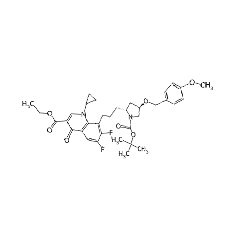 CCOC(=O)c1cn(C2CC2)c2c(CCC[C@@H]3C[C@@H](OCc4ccc(OC)cc4)CN3C(=O)OC(C)(C)C)c(F)c(F)cc2c1=O